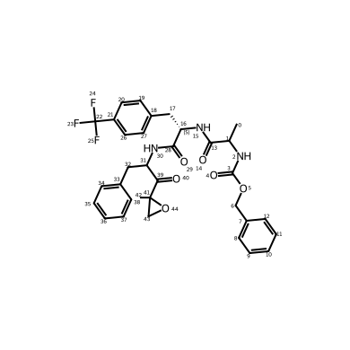 CC(NC(=O)OCc1ccccc1)C(=O)N[C@@H](Cc1ccc(C(F)(F)F)cc1)C(=O)NC(Cc1ccccc1)C(=O)C1(C)CO1